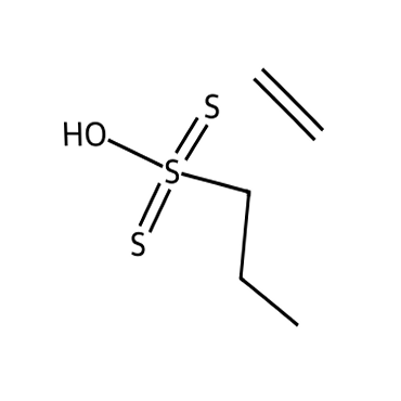 C=C.CCCS(O)(=S)=S